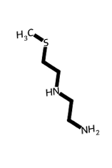 CSCCNCCN